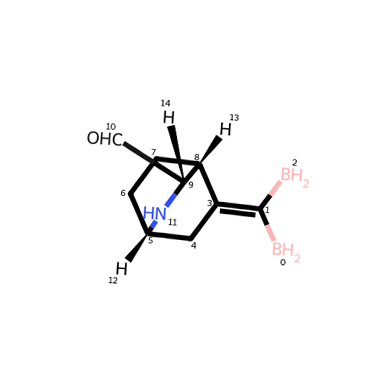 BC(B)=C1C[C@@H]2CC[C@H]1[C@@H](C=O)N2